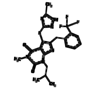 Cc1nc(Sc2c(Cc3ccccc3C(F)(F)F)sc3c2c(=O)n(C)c(=O)n3CC(C)C)n[nH]1